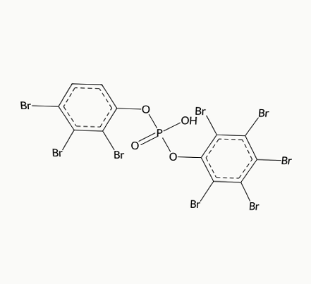 O=P(O)(Oc1ccc(Br)c(Br)c1Br)Oc1c(Br)c(Br)c(Br)c(Br)c1Br